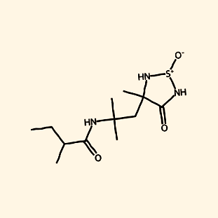 CCC(C)C(=O)NC(C)(C)CC1(C)N[S+]([O-])NC1=O